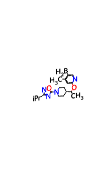 Bc1cnc(O[C@@H](C)C2CCN(c3nc(C(C)C)no3)CC2)cc1C